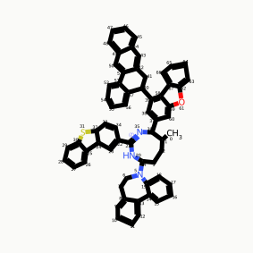 CC1CCC(N2CCc3ccccc3-c3ccccc32)N/C(C2=CC3c4ccccc4SC3C=C2)=N\C1c1cc(C2Cc3cc4ccccc4cc3-c3ccccc32)c2c(c1)oc1ccccc12